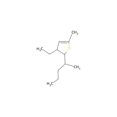 CCCC(C)C1SC(C)=CC1CC